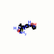 NC(=O)c1sc2nc(N3CCC(NCC(O)c4ccccn4)CC3)cc(C3CC3)c2c1N